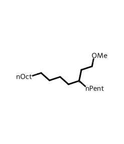 CCCCCCCCCCCC[C](CCCCC)CCOC